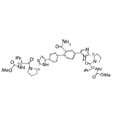 COC(=O)N[C@H](C(=O)N1CCC[C@H]1c1ncc(-c2ccc(-c3ccc(-c4cnc([C@@H]5CCCN5C(=O)[C@@H](NC(=O)OC)C(C)C)[nH]4)cc3C(N)=O)cc2)[nH]1)C(C)C